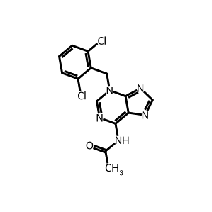 CC(=O)Nc1ncn(Cc2c(Cl)cccc2Cl)c2ncnc1-2